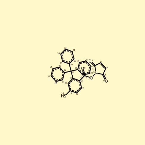 O=C(ON1C(=O)C=CC1=O)c1ccc(S)cc1C(c1ccccc1)(c1ccccc1)c1ccccc1